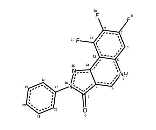 O=c1c2c[nH]c3cc(F)c(F)c(F)c3c-2nn1-c1ccccc1